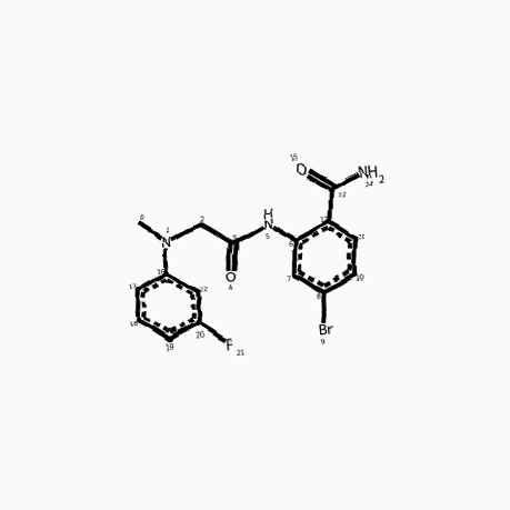 CN(CC(=O)Nc1cc(Br)ccc1C(N)=O)c1cccc(F)c1